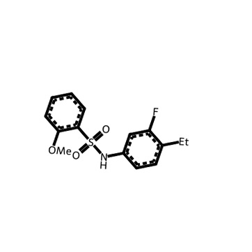 CCc1ccc(NS(=O)(=O)c2ccccc2OC)cc1F